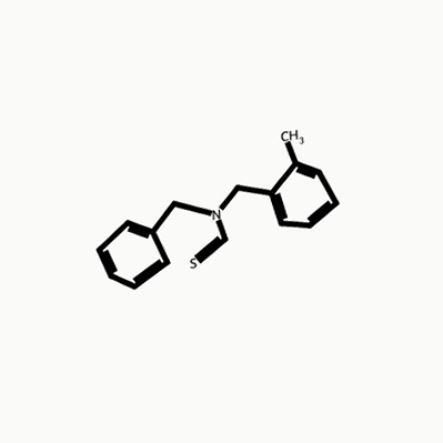 Cc1ccccc1CN(C=S)Cc1ccccc1